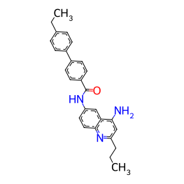 CCCc1cc(N)c2cc(NC(=O)c3ccc(-c4ccc(CC)cc4)cc3)ccc2n1